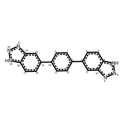 c1cc(-c2ccc3[nH]nnc3c2)ccc1-c1ccc2[nH]nnc2c1